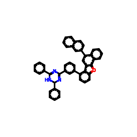 c1ccc(C2=NC(c3cccc(-c4cccc5oc6c7ccccc7c(-c7ccc8ccccc8c7)cc6c45)c3)=NC(c3ccccc3)N2)cc1